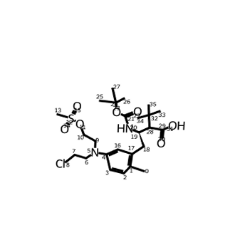 Cc1ccc(N(CCCl)CCOS(C)(=O)=O)cc1C[C@@H](NC(=O)OC(C)(C)C)C(C(=O)O)C(C)(C)C